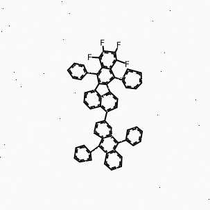 Fc1c(F)c(F)c2c(-c3ccccc3)c3c(c(-c4ccccc4)c2c1F)-c1cccc2c(-c4ccc5c(-c6ccccc6)c6ccccc6c(-c6ccccc6)c5c4)ccc-3c12